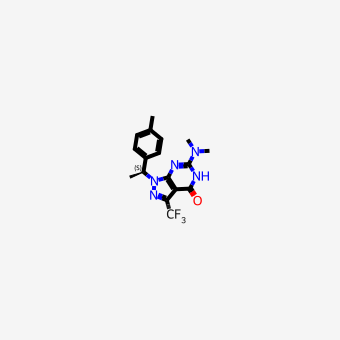 Cc1ccc([C@H](C)n2nc(C(F)(F)F)c3c(=O)[nH]c(N(C)C)nc32)cc1